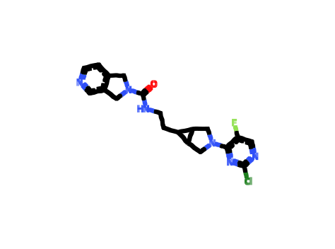 O=C(NCCC1C2CN(c3nc(Cl)ncc3F)CC12)N1Cc2ccncc2C1